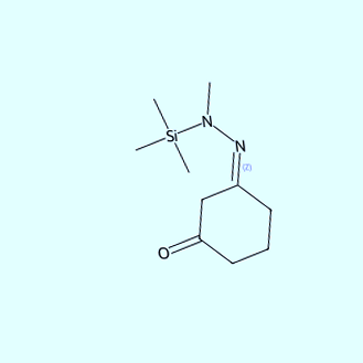 CN(/N=C1/CCCC(=O)C1)[Si](C)(C)C